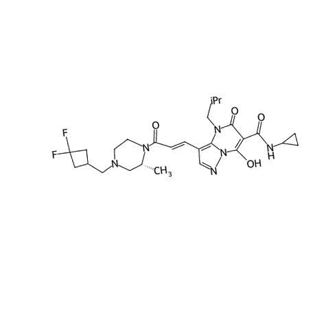 CC(C)Cn1c(=O)c(C(=O)NC2CC2)c(O)n2ncc(/C=C/C(=O)N3CCN(CC4CC(F)(F)C4)C[C@H]3C)c12